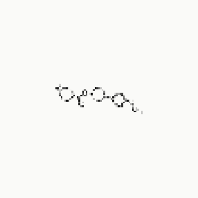 O=C(OC1CCC(c2ccc(OC(F)(F)F)cc2)CC1)C1CCC2OC2C1